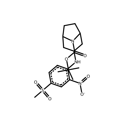 CC(C)(C)OC(=O)N1C2CCC1CC(Nc1ccc(S(C)(=O)=O)cc1[N+](=O)[O-])C2